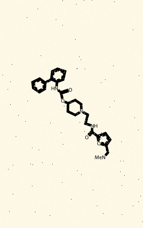 CNCc1ccc(C(=O)NCCN2CCC(OC(=O)Nc3ccccc3-c3ccccc3)CC2)o1